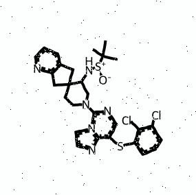 CC(C)(C)[S@@+]([O-])NC1CN(c2ncc(Sc3cccc(Cl)c3Cl)c3nccn23)CCC12Cc1cccnc1C2